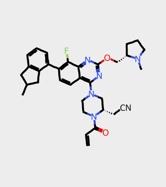 C=CC(=O)N1CCN(c2nc(OC[C@@H]3CCCN3C)nc3c(F)c(-c4cccc5c4CC(C)C5)ccc23)C[C@@H]1CC#N